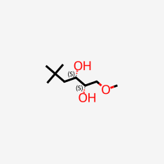 COC[C@H](O)[C@@H](O)CC(C)(C)C